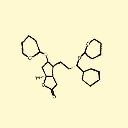 O=C1CC2C(CC[C@H](OC3CCCCO3)C3CCCCC3)C(OC3CCCCO3)C[C@@H]2O1